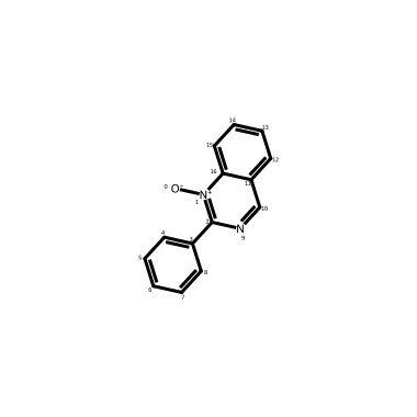 [O-][n+]1c(-c2ccccc2)ncc2ccccc21